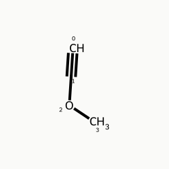 C#COC